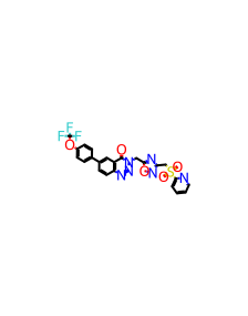 O=c1c2cc(-c3ccc(OC(F)(F)F)cc3)ccc2nnn1Cc1nc(CS(=O)(=O)c2ccccn2)no1